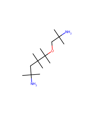 CC(C)(N)COC(C)(C)C(C)(C)CC(C)(C)N